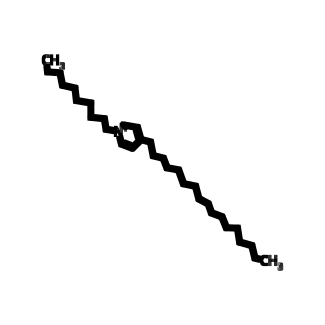 CCCCCCCCCCCCCCCCCc1cc[n+](CCCCCCCCCC)cc1